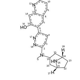 CN(c1ccc(-c2cc3cccnc3cc2O)nn1)C1C[C@H]2CC[C@@H](C1)N2